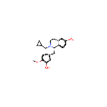 COc1ccc2c(c1)CCN(CC1CC1)[C@@H]2Cc1ccc(OC)c(O)c1